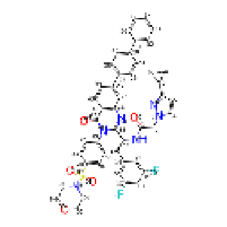 O=C(Cn1ccc(C2CC2)n1)N[C@@H](Cc1cc(F)cc(F)c1)c1nc2cc(-c3ccc(-c4ccccc4)cc3)ccc2c(=O)n1-c1ccc(S(=O)(=O)N2CCOCC2)cc1